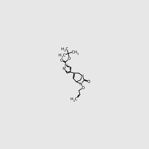 C=CCON1C(=O)N2CC(c3cnn(C(=O)OC(C)(C)C)c3)=CC1C2